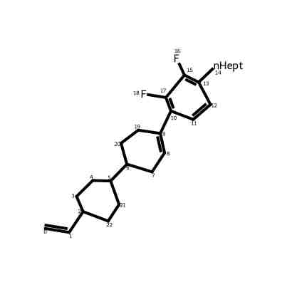 C=CC1CCC(C2CC=C(c3ccc(CCCCCCC)c(F)c3F)CC2)CC1